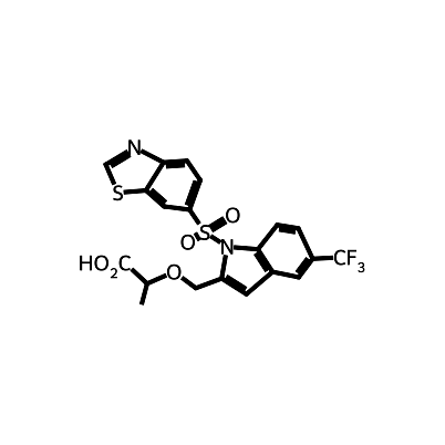 CC(OCc1cc2cc(C(F)(F)F)ccc2n1S(=O)(=O)c1ccc2ncsc2c1)C(=O)O